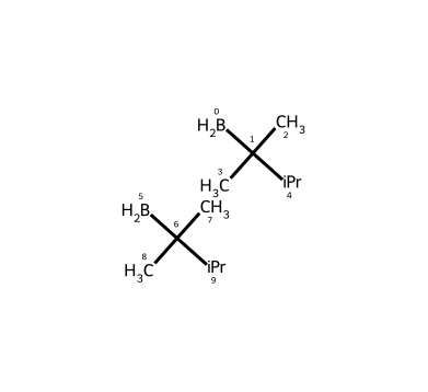 BC(C)(C)C(C)C.BC(C)(C)C(C)C